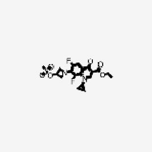 CCOC(=O)c1cn(C2CC2)c2c(F)c(N3CC(OS(C)(=O)=O)C3)c(F)cc2c1=O